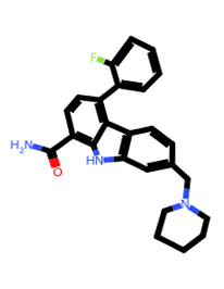 NC(=O)c1ccc(-c2ccccc2F)c2c1[nH]c1cc(CN3CCCCC3)ccc12